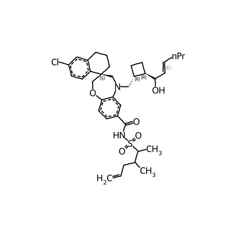 C=CCC(C)C(C)S(=O)(=O)NC(=O)c1ccc2c(c1)N(C[C@@H]1CC[C@H]1C(O)/C=C/CCC)C[C@@]1(CCCc3cc(Cl)ccc31)CO2